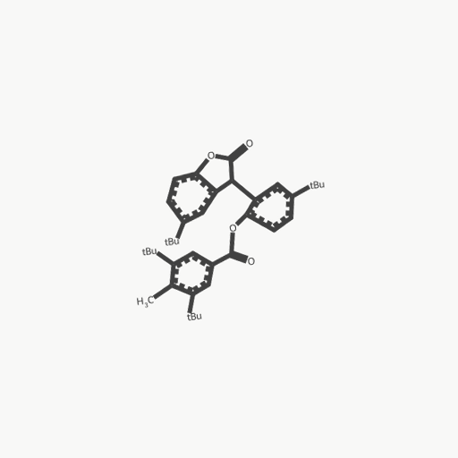 Cc1c(C(C)(C)C)cc(C(=O)Oc2ccc(C(C)(C)C)cc2C2C(=O)Oc3ccc(C(C)(C)C)cc32)cc1C(C)(C)C